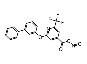 O=NOC(=O)c1cc(Oc2cccc(-c3ccccc3)c2)nc(C(F)(F)F)c1